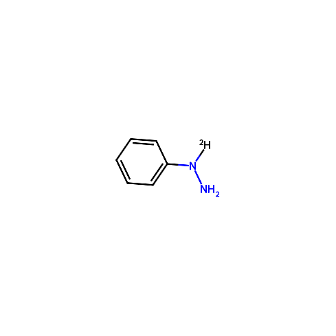 [2H]N(N)c1ccccc1